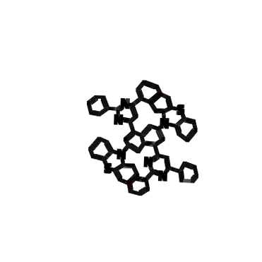 c1ccc(-c2cc(-c3cc(N4c5ccccc5Sc5ccccc54)cc4c(-c5cc(-c6ccccc6)nc(-c6ccccc6)n5)cc(N5c6ccccc6Sc6ccccc65)cc34)nc(-c3ccccc3)n2)cc1